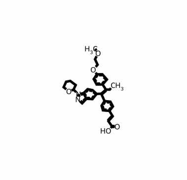 CC/C(=C(\c1ccc(C=CC(=O)O)cc1)c1ccc2c(cnn2C2CCCCO2)c1)c1ccc(OCCOC)cc1